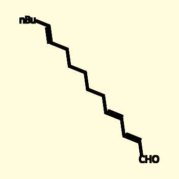 CCCCC=CCCCCCC=CC=CC=O